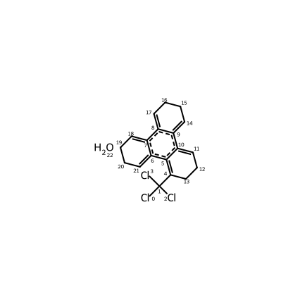 ClC(Cl)(Cl)C1=c2c3c(c4c(c2=CCC1)=CCCC=4)=CCCC=3.O